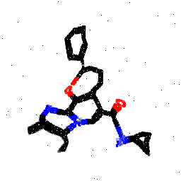 Cc1nc2c3c(c(C(=O)NC4CC4)cn2c1C)CC[C@@H](c1ccccc1)O3